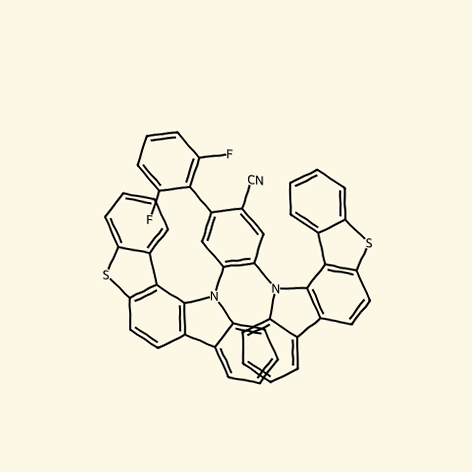 N#Cc1cc(-n2c3ccccc3c3ccc4sc5ccccc5c4c32)c(-n2c3ccccc3c3ccc4sc5ccccc5c4c32)cc1-c1c(F)cccc1F